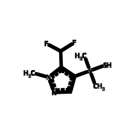 Cn1ncc(S(C)(C)S)c1C(F)F